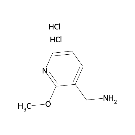 COc1ncccc1CN.Cl.Cl